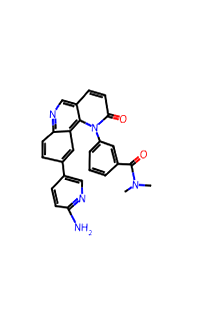 CN(C)C(=O)c1cccc(-n2c(=O)ccc3cnc4ccc(-c5ccc(N)nc5)cc4c32)c1